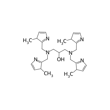 CC1C=CN=C1CN(CC1=NC=CC1C)CC(O)CN(CC1=NC=CC1C)CC1=NC=CC1C